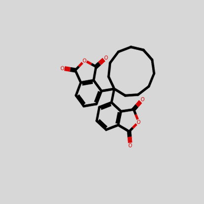 O=C1OC(=O)c2c1cccc2C1(c2cccc3c2C(=O)OC3=O)CCCCCCCCCC1